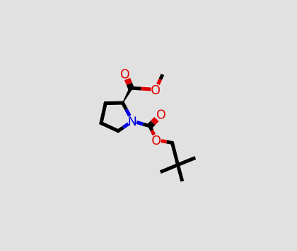 COC(=O)[C@@H]1CCCN1C(=O)OCC(C)(C)C